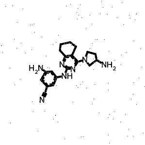 N#Cc1cc(N)cc(Nc2nc3c(c(N4CCC(N)C4)n2)CCCC3)c1